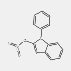 O=[SH](=O)Oc1nc2ccccc2n1-c1ccccc1